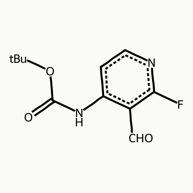 CC(C)(C)OC(=O)Nc1ccnc(F)c1C=O